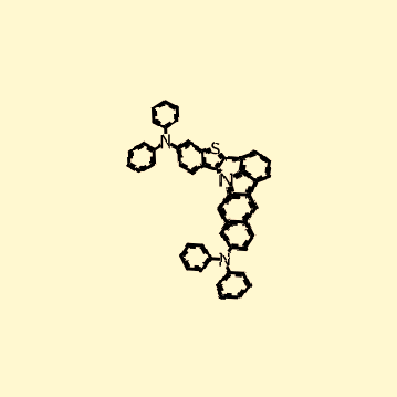 c1ccc(N(c2ccccc2)c2ccc3cc4c5cccc6c7sc8cc(N(c9ccccc9)c9ccccc9)ccc8c7n(c4cc3c2)c56)cc1